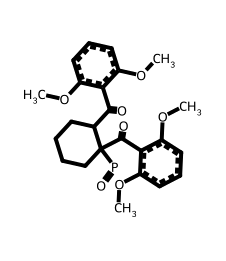 COc1cccc(OC)c1C(=O)C1CCCCC1(P=O)C(=O)c1c(OC)cccc1OC